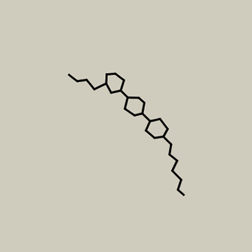 CCCCCCCC1CCC(C2CCC(C3CCCC(CCCC)C3)CC2)CC1